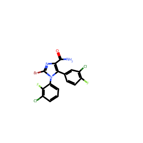 NC(=O)c1nc(Br)n(-c2cccc(Cl)c2F)c1-c1ccc(F)c(Cl)c1